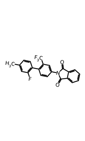 Cc1ccc(-c2ccc(N3C(=O)c4ccccc4C3=O)cc2C(F)(F)F)c(F)c1